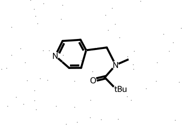 CN(Cc1ccncc1)C(=O)C(C)(C)C